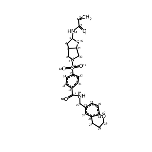 C=CC(=O)NC1CC2CN(S(=O)(=O)c3ccc(C(=O)NCc4ccc5c(c4)CCCO5)cc3)CC2S1